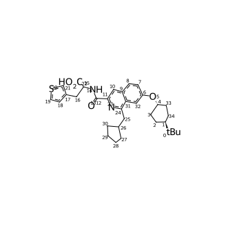 CC(C)(C)[C@H]1CC[C@H](Oc2ccc3cc(C(=O)N[C@H](Cc4ccsc4)C(=O)O)nc(CC4CCCC4)c3c2)CC1